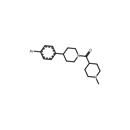 CC(=O)c1ccc(C2CCN(C(=O)C3CCN(C)CC3)CC2)cc1